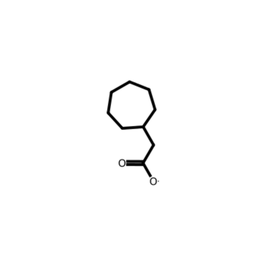 [O]C(=O)CC1CCCCCC1